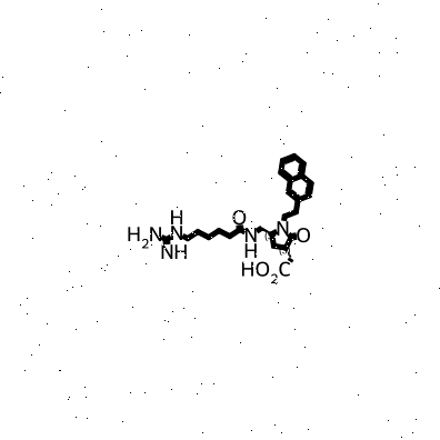 N=C(N)NCCCCCC(=O)NC[C@@H]1C[C@@H](CC(=O)O)C(=O)N1CCc1ccc2ccccc2c1